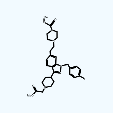 COC(=O)CN1CCC(c2nn(Cc3ccc(F)cc3)c3cc(CCN4CCN(C(=O)OC(C)(C)C)CC4)ccc23)CC1